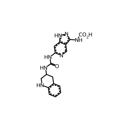 O=C(O)Nc1n[nH]c2cc(NC(=O)NC3CNc4ccccc4C3)ncc12